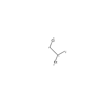 [CH2]C(CC)CCl